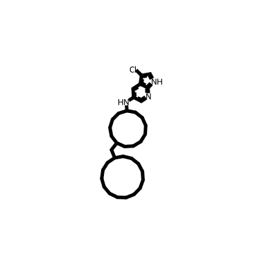 Clc1c[nH]c2ncc(NC3CCCCCCCC(CC4CCCCCCCCCCCCCC4)CCCC3)cc12